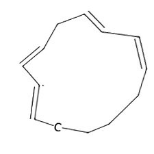 [C]1=C/CCCC/C=C\C=C\C/C=C/1